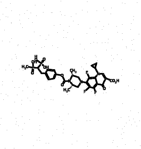 C[C@@H]1CN(c2c(F)c(F)c3c(=O)c(C(=O)O)cn(C4CC4)c3c2F)C[C@H](C)N1C(=O)Oc1ccc(CC(P(C)(=O)O)P(=O)(O)O)cc1